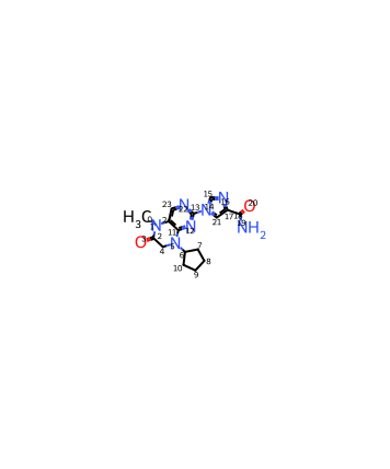 CN1C(=O)CN(C2CCCC2)c2nc(-n3cnc(C(N)=O)c3)ncc21